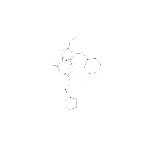 COc1nc2c(N)nc(OC[C@H]3CCCO3)nc2n1CC1CCOCC1